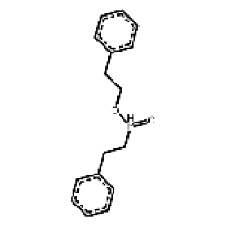 O=[PH](CCc1ccccc1)OCCc1ccccc1